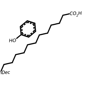 CCCCCCCCCCCCCCCCCCCCCC(=O)O.Oc1ccccc1